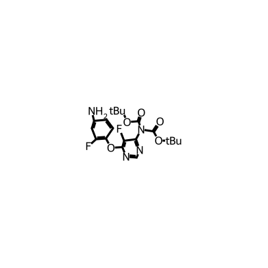 CC(C)(C)OC(=O)N(C(=O)OC(C)(C)C)c1ncnc(Oc2ccc(N)cc2F)c1F